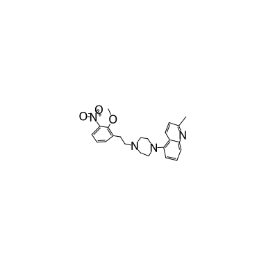 COc1c(CCN2CCN(c3cccc4nc(C)ccc34)CC2)cccc1[N+](=O)[O-]